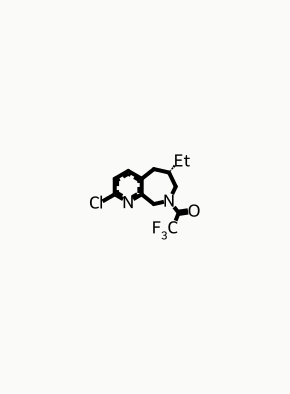 CC[C@H]1Cc2ccc(Cl)nc2CN(C(=O)C(F)(F)F)C1